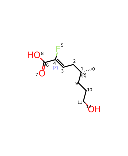 C[C@@H](C/C=C(\F)C(=O)O)CCCO